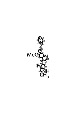 COc1cc2c(Oc3ccc4[nH]c(C)cc4c3F)ccnc2cc1OCCCN1CCOCC1